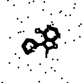 Clc1ncnc2c1C(c1ccccc1)C(I)O2